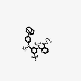 COC(=O)c1cccnc1N(C)c1cc(N(C)c2ccc(C34CC5CC(CC(C5)C3)C4)cc2)cc(C(F)(F)F)c1